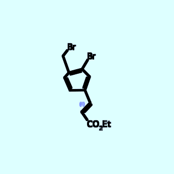 CCOC(=O)/C=C/c1ccc(CBr)c(Br)c1